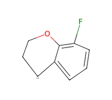 Fc1cccc2c1OCC[C]2